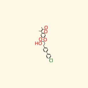 Cc1c(C)c2ccc(OC(CCc3ccc(-c4ccc(Cl)cc4)cc3)C(=O)O)cc2oc1=O